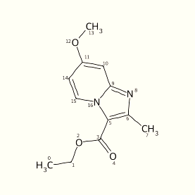 CCOC(=O)c1c(C)nc2cc(OC)ccn12